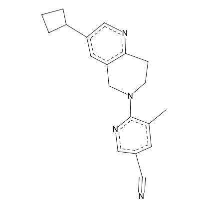 Cc1cc(C#N)cnc1N1CCc2ncc(C3CCC3)cc2C1